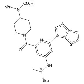 CCCN(C(=O)O)C1CCN(C(=O)c2cc(N[C@@H](C)C(C)(C)C)nc(-c3cnn4ccsc34)n2)CC1